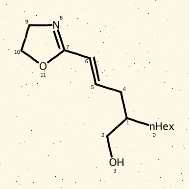 CCCCCCC(CO)CC=CC1=NCCO1